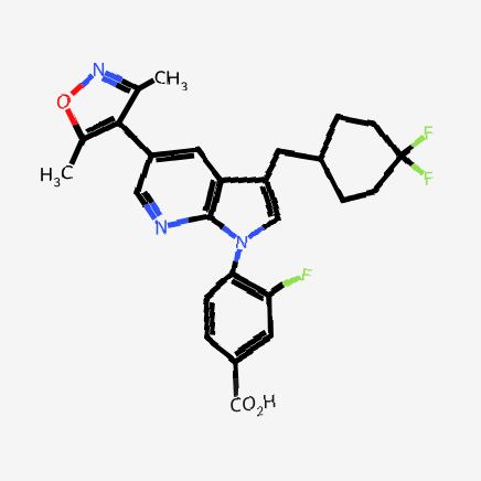 Cc1noc(C)c1-c1cnc2c(c1)c(CC1CCC(F)(F)CC1)cn2-c1ccc(C(=O)O)cc1F